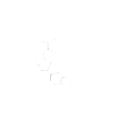 CCCCCC1C(C(=O)O)C(c2ccc3c(c2)OCO3)CN1CC(=O)N(CCCC)CCCC